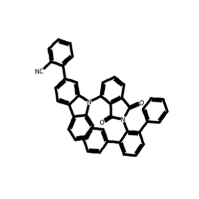 N#Cc1ccccc1-c1ccc2c3ccccc3n(-c3cccc4c3C(=O)N(c3c(-c5ccccc5)cccc3-c3ccccc3)C4=O)c2c1